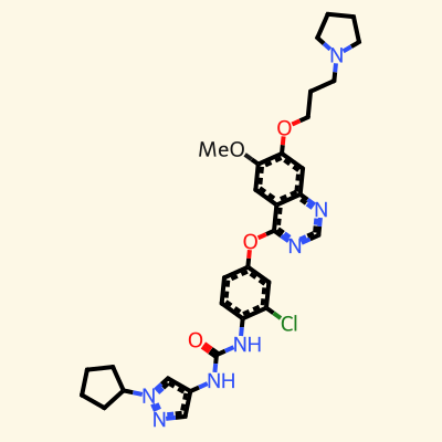 COc1cc2c(Oc3ccc(NC(=O)Nc4cnn(C5CCCC5)c4)c(Cl)c3)ncnc2cc1OCCCN1CCCC1